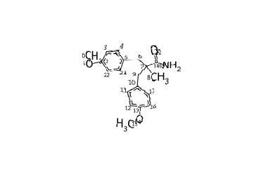 COc1ccc(CC(C)(Cc2ccc(OC)cc2)C(N)=O)cc1